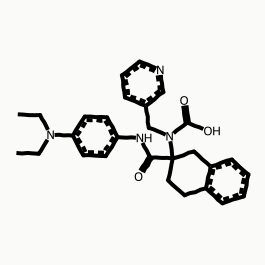 CCN(CC)c1ccc(NC(=O)C2(N(Cc3cccnc3)C(=O)O)CCc3ccccc3C2)cc1